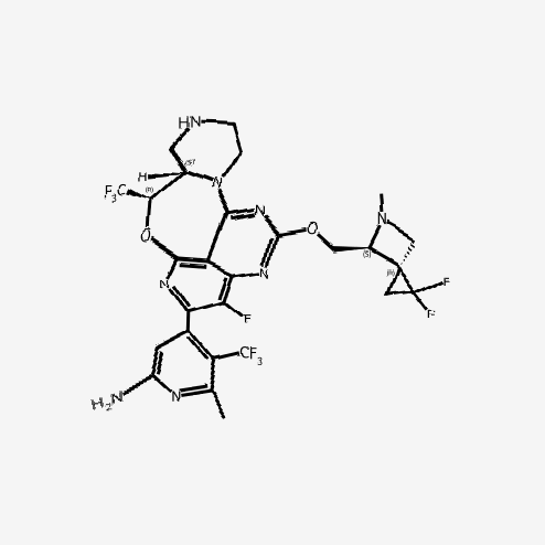 Cc1nc(N)cc(-c2nc3c4c(nc(OC[C@H]5N(C)C[C@]56CC6(F)F)nc4c2F)N2CCNC[C@H]2[C@H](C(F)(F)F)O3)c1C(F)(F)F